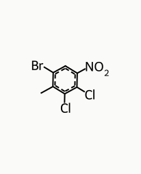 Cc1c(Br)cc([N+](=O)[O-])c(Cl)c1Cl